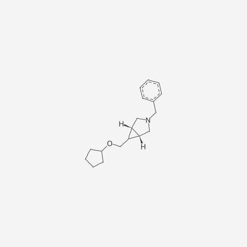 c1ccc(CN2C[C@@H]3C(COC4CCCC4)[C@@H]3C2)cc1